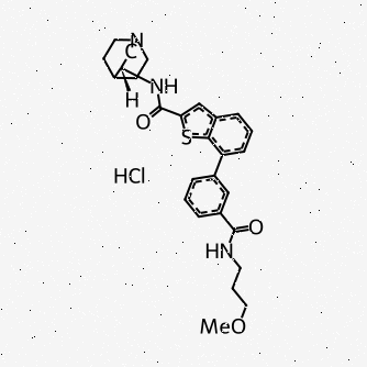 COCCCNC(=O)c1cccc(-c2cccc3cc(C(=O)N[C@H]4CN5CCC4CC5)sc23)c1.Cl